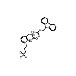 O=C(N[C@H](Cc1ccc[n+](CCCS(=O)(=O)[O-])c1)C(=O)O)OCC1c2ccccc2-c2ccccc21